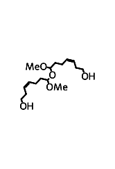 COC(CC/C=C\CCO)OC(CC/C=C\CCO)OC